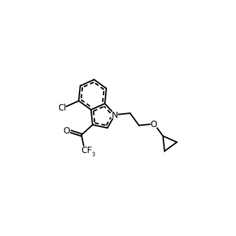 O=C(c1cn(CCOC2CC2)c2cccc(Cl)c12)C(F)(F)F